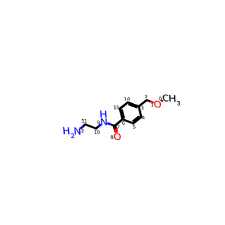 COCc1ccc(C(=O)NCCN)cc1